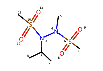 CC(C)N(N(C)S(C)(=O)=O)S(C)(=O)=O